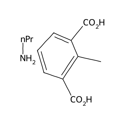 CCCN.Cc1c(C(=O)O)cccc1C(=O)O